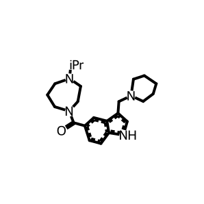 CC(C)N1CCCN(C(=O)c2ccc3[nH]cc(CN4CCCCC4)c3c2)CC1